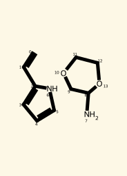 C=Cc1ccc[nH]1.NC1COCCO1